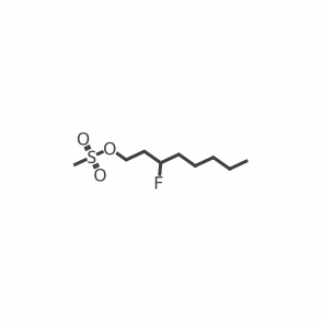 CCCCCC(F)CCOS(C)(=O)=O